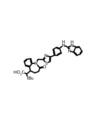 CC(C)(C)C(C(=O)O)C1CCC(=O)N(Cc2nc(-c3ccc(Nc4nc5ccccc5[nH]4)cc3)cs2)c2ccccc21